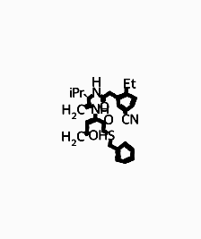 C=C(O)/C=C(/NC(=C)[C@@H](NC(=O)Cc1cc(C#N)ccc1CC)C(C)C)C(=O)CSCc1ccccc1